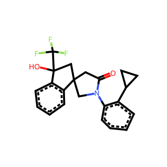 O=C1CC2(CN1c1ccccc1C1CC1)CC(O)(C(F)(F)F)c1ccccc12